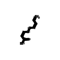 C=C/C=C\OO/C=C\C(=O)CC